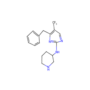 FC(F)(F)c1cnc(NC2CCCNC2)nc1Cc1ccccc1